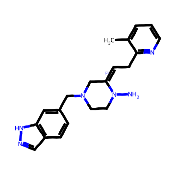 Cc1cccnc1C/C=C1/CN(Cc2ccc3cn[nH]c3c2)CCN1N